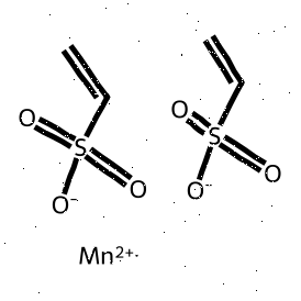 C=CS(=O)(=O)[O-].C=CS(=O)(=O)[O-].[Mn+2]